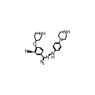 C/N=C(\N=C\Nc1ccc(N2CCNCC2)cc1)c1ccc(OC2CCNCC2)c(C#N)c1